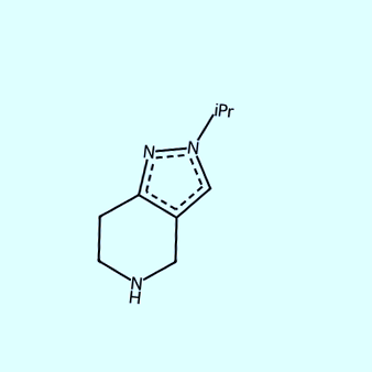 CC(C)n1cc2c(n1)CCNC2